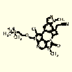 Cn1ncc2cc(-c3c(Cl)n(COCC[Si](C)(C)C)c4ncc5c(c34)n(C3CC(CC#N)C3)c(=O)n5C)ccc21